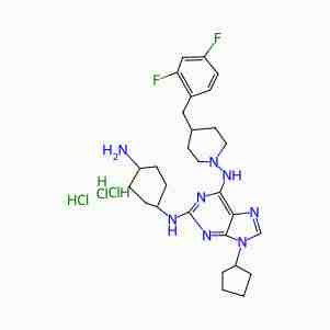 Cl.Cl.Cl.NC1CCC(Nc2nc(NN3CCC(Cc4ccc(F)cc4F)CC3)c3ncn(C4CCCC4)c3n2)CC1